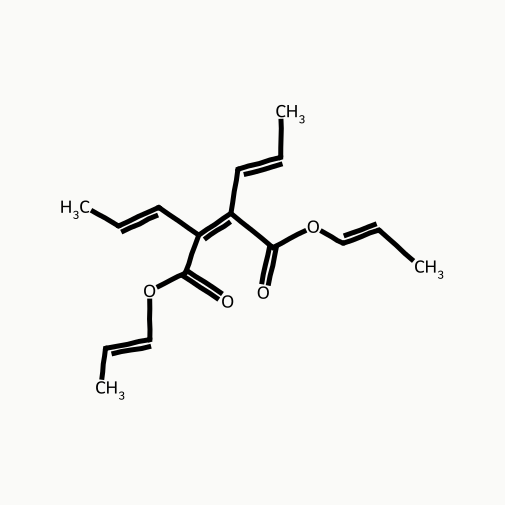 CC=COC(=O)/C(C=CC)=C(/C=CC)C(=O)OC=CC